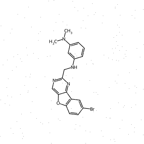 CN(C)c1cccc(NCc2ncc3oc4ccc(Br)cc4c3n2)c1